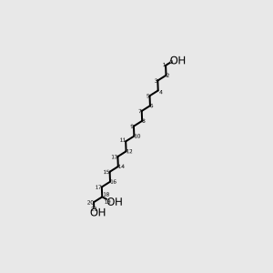 OCCCCCCCCCCCCCCCCCC(O)CO